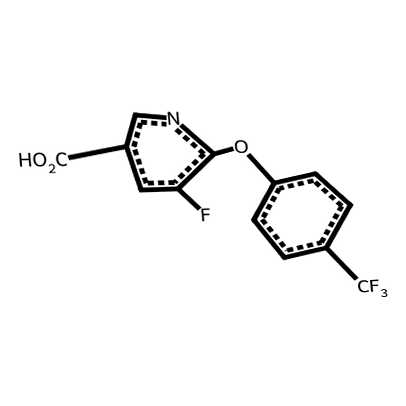 O=C(O)c1cnc(Oc2ccc(C(F)(F)F)cc2)c(F)c1